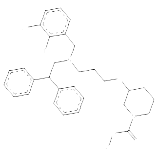 CC(C)(C)OC(=O)N1CCCC(OCCCN(Cc2cccc(C(F)(F)F)c2Cl)CC(c2ccccc2)c2ccccc2)C1